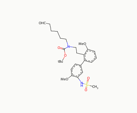 COc1ccc(-c2cccc(OC)c2CCN(CCCCCC=O)C(=O)OC(C)(C)C)cc1NS(C)(=O)=O